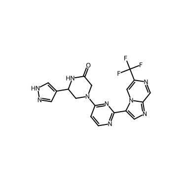 O=C1CN(c2ccnc(-c3cnc4cnc(C(F)(F)F)cn34)n2)CC(c2cn[nH]c2)N1